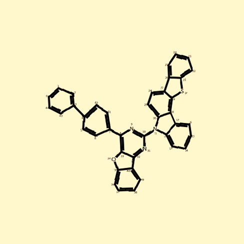 c1ccc(-c2ccc(-c3nc(-n4c5ccccc5c5c6sc7ccccc7c6ccc54)nc4c3oc3ccccc34)cc2)cc1